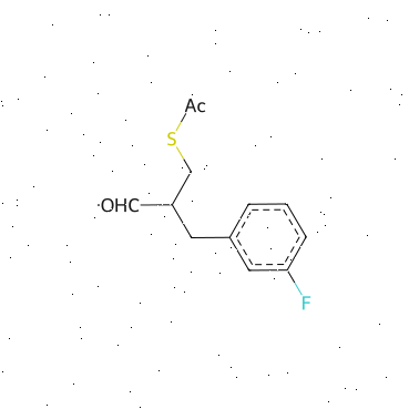 CC(=O)SCC([C]=O)Cc1cccc(F)c1